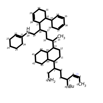 C/C=C\C(CCCC)CCC(CN)C1CCC(C(C)CCC(CNC2=CCCCC2)C2C=CCCC2C2C=CC=CC2)C2CCCCC12